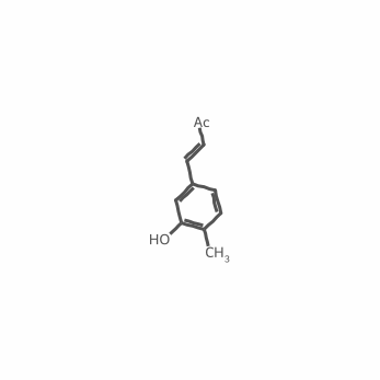 CC(=O)C=Cc1ccc(C)c(O)c1